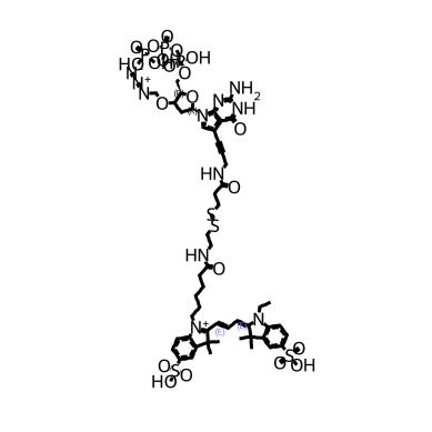 CCN1/C(=C/C=C/C2=[N+](CCCCCC(=O)NCCSSCCC(=O)NCC#Cc3cn([C@H]4CC(OCN=[N+]=[N-])[C@@H](COP(=O)(O)OP(=O)(O)OP(=O)(O)O)O4)c4nc(N)[nH]c(=O)c34)c3ccc(S(=O)(=O)O)cc3C2(C)C)C(C)(C)c2cc(S(=O)(=O)O)ccc21